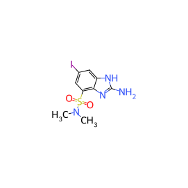 CN(C)S(=O)(=O)c1cc(I)cc2[nH]c(N)nc12